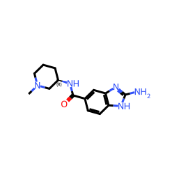 CN1CCC[C@@H](NC(=O)c2ccc3[nH]c(N)nc3c2)C1